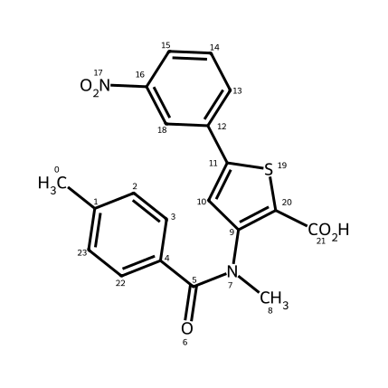 Cc1ccc(C(=O)N(C)c2cc(-c3cccc([N+](=O)[O-])c3)sc2C(=O)O)cc1